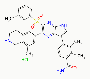 Cc1cccc(S(=O)(=O)c2nc3[nH]cc(-c4ccc(C(N)=O)c(C)c4C)c3nc2-c2cc(C)c3c(c2)CCNC3)c1.Cl